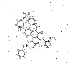 Cn1cncc1C[C@@H](C(=O)N1CCN(Cc2ccccc2)CC1)N(Cc1ccc(C2=CC=CCN2)cc1)C(=O)/C=C/c1ccc(C(F)(F)F)cc1